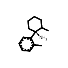 Cc1ccccc1[C@]1(N)CCCCC1C